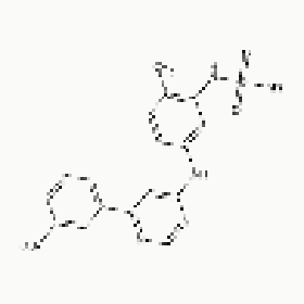 CCCS(=O)(=O)Nc1cc(Nc2cc(-c3cccc([N+](=O)[O-])c3)ncn2)ccc1C